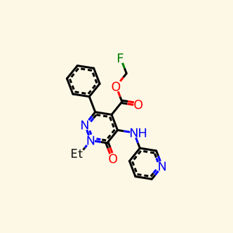 CCn1nc(-c2ccccc2)c(C(=O)OCF)c(Nc2cccnc2)c1=O